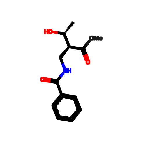 COC(=O)[C@@H](CNC(=O)c1ccccc1)[C@@H](C)O